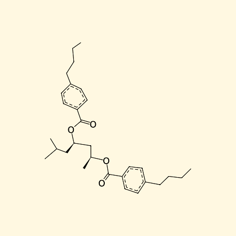 CCCCc1ccc(C(=O)O[C@H](CC(C)C)C[C@H](C)OC(=O)c2ccc(CCCC)cc2)cc1